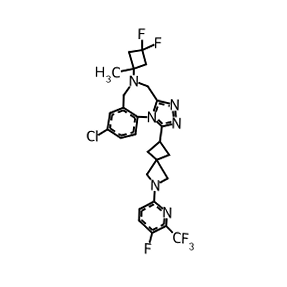 CC1(N2Cc3cc(Cl)ccc3-n3c(nnc3C3CC4(C3)CN(c3ccc(F)c(C(F)(F)F)n3)C4)C2)CC(F)(F)C1